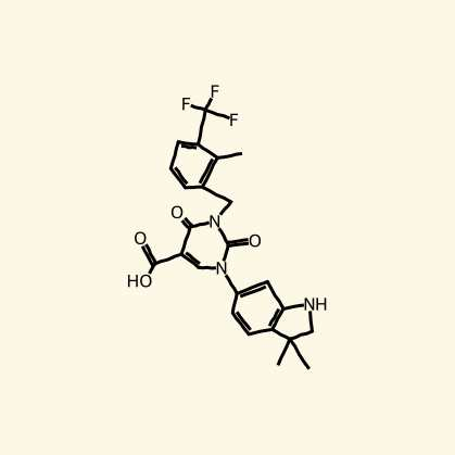 Cc1c(Cn2c(=O)c(C(=O)O)cn(-c3ccc4c(c3)NCC4(C)C)c2=O)cccc1C(F)(F)F